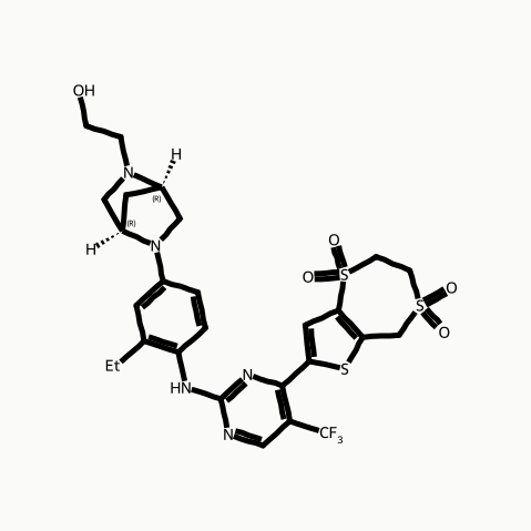 CCc1cc(N2C[C@H]3C[C@@H]2CN3CCO)ccc1Nc1ncc(C(F)(F)F)c(-c2cc3c(s2)CS(=O)(=O)CCS3(=O)=O)n1